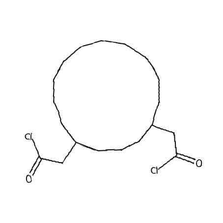 O=C(Cl)CC1CCCCCCCCCCC(CC(=O)Cl)CCC1